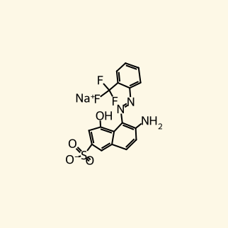 Nc1ccc2cc(S(=O)(=O)[O-])cc(O)c2c1N=Nc1ccccc1C(F)(F)F.[Na+]